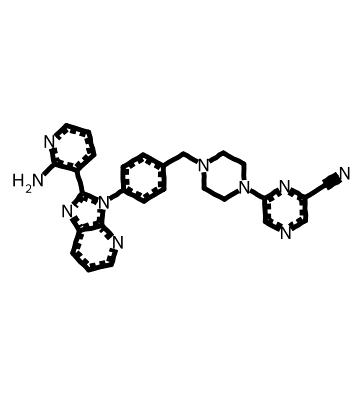 N#Cc1cncc(N2CCN(Cc3ccc(-n4c(-c5cccnc5N)nc5cccnc54)cc3)CC2)n1